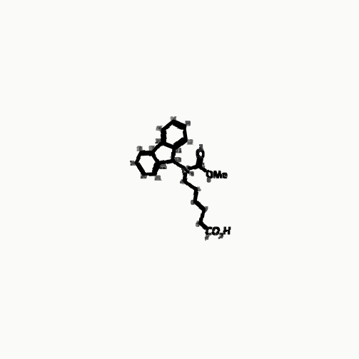 COC(=O)N(CCCCCC(=O)O)C1c2ccccc2-c2ccccc21